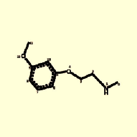 CNCCOc1cccc(OC)c1